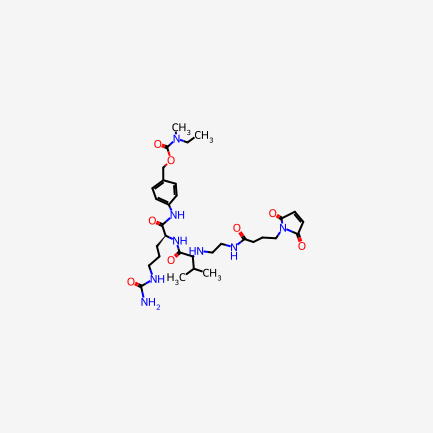 CCN(C)C(=O)OCc1ccc(NC(=O)[C@H](CCCNC(N)=O)NC(=O)[C@@H](NCCNC(=O)CCCN2C(=O)C=CC2=O)C(C)C)cc1